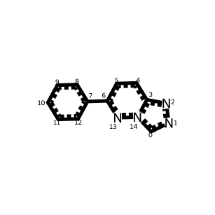 [c]1nnc2ccc(-c3ccccc3)nn12